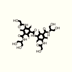 O=C(CO)Nc1c(I)c(NC(=O)c2c(I)c(NC(=O)CO)c(I)c(C(=O)NC(CO)CO)c2I)c(I)c(C(=O)NC(CO)CO)c1I